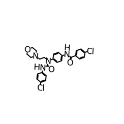 O=C(Nc1ccc(N(CCN2CCOCC2)C(=O)Nc2ccc(Cl)cc2)cc1)c1ccc(Cl)cc1